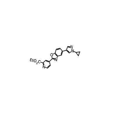 CCOC(=O)c1cc(-c2nc3cc(-c4cnn(C5CC5)c4)ccc3o2)ccn1